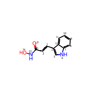 O=C(/C=C/c1c[nH]c2ccccc12)NO